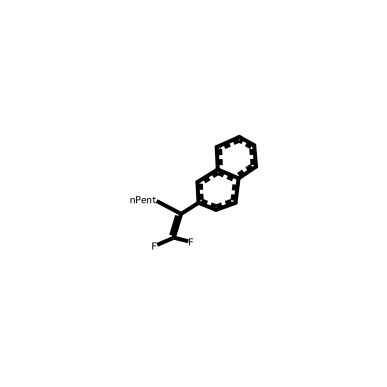 CCCCCC(=C(F)F)c1ccc2ccccc2c1